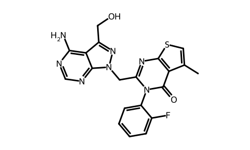 Cc1csc2nc(Cn3nc(CO)c4c(N)ncnc43)n(-c3ccccc3F)c(=O)c12